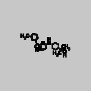 Cc1cccc(-c2cnn3ccc(N[C@H]4CC[C@H](C(C)(C)O)CC4)nc23)c1